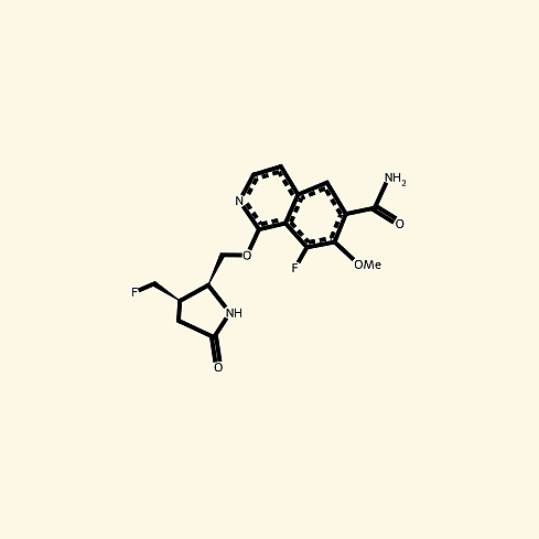 COc1c(C(N)=O)cc2ccnc(OC[C@H]3NC(=O)C[C@H]3CF)c2c1F